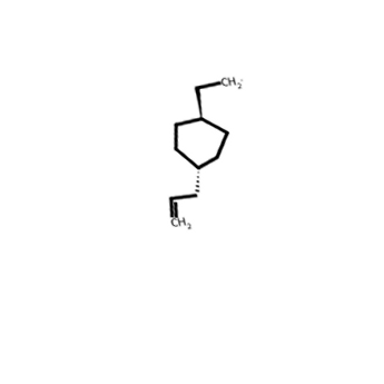 [CH2]C[C@H]1CC[C@H](CC=C)CC1